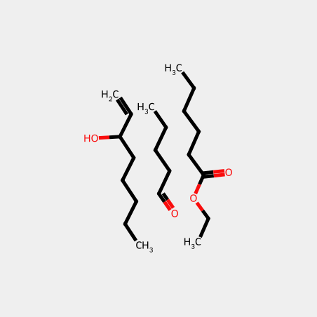 C=CC(O)CCCCC.CCCCC=O.CCCCCC(=O)OCC